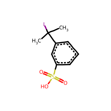 CC(C)(I)c1cccc(S(=O)(=O)O)c1